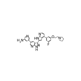 Nc1cncc(-c2cnc3[nH]nc(-c4cc5c(-c6cc(F)cc(OCCN7CCCC7)c6)ccnc5[nH]4)c3c2)c1